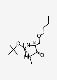 CCCCOC[C@H](NC(=O)OC(C)(C)C)C(=O)NC